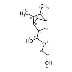 CC1C2CC(C(O)OCCO)C(C2)C1C